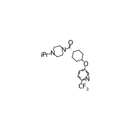 CC(C)N1CCN(C(=O)[C@H]2CC[C@H](Oc3ccc(C(F)(F)F)nc3)CC2)CC1